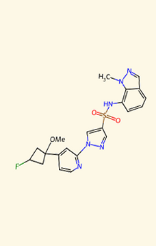 COC1(c2ccnc(-n3cc(S(=O)(=O)Nc4cccc5cnn(C)c45)cn3)c2)CC(F)C1